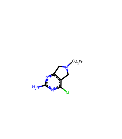 CCOC(=O)N1Cc2nc(N)nc(Cl)c2C1